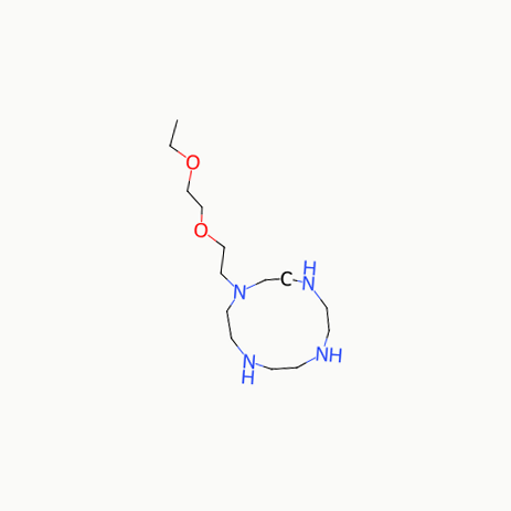 CCOCCOCCN1CCNCCNCCNCC1